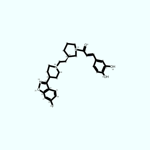 O=C(/C=C/c1ccc(O)c(O)c1)N1CCC[C@H](CCN2CCC(c3noc4cc(F)ccc34)CC2)C1